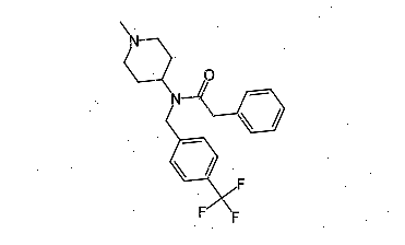 CN1CCC(N(Cc2ccc(C(F)(F)F)cc2)C(=O)Cc2ccccc2)CC1